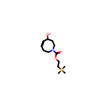 CS(C)(C)CCOC(=O)N1CC/C=C\C(O)CC1